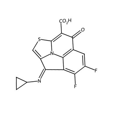 O=C(O)c1c(=O)c2cc(F)c(F)c3c(=NC4CC4)c4csc1n4c23